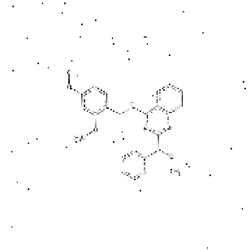 COc1ccc(CNc2nc(C(OC)c3ccccc3)nc3ccccc23)c(OC)c1